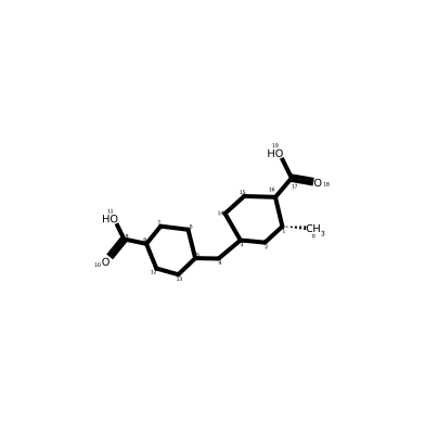 C[C@@H]1CC(CC2CCC(C(=O)O)CC2)CCC1C(=O)O